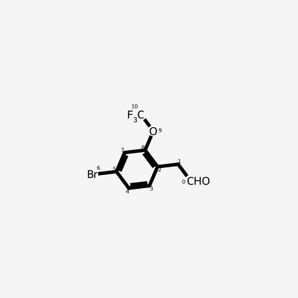 O=CCc1ccc(Br)cc1OC(F)(F)F